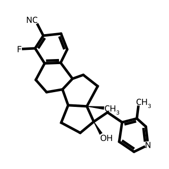 Cc1cnccc1C[C@]1(O)CCC2C3CCc4c(ccc(C#N)c4F)C3CC[C@@]21C